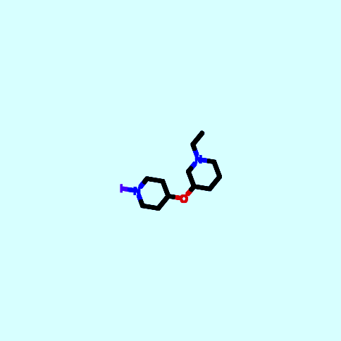 CCN1CCCC(OC2CCN(I)CC2)C1